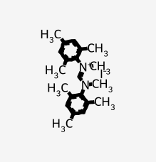 Cc1cc(C)c(N(C)C=[N+](C)c2c(C)cc(C)cc2C)c(C)c1.[I-]